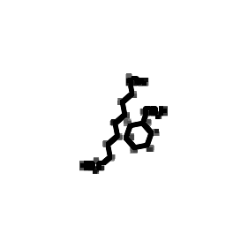 CCCCCCCCCCCCCCCCCC(=O)O.O=C(O)C1CCCCC1